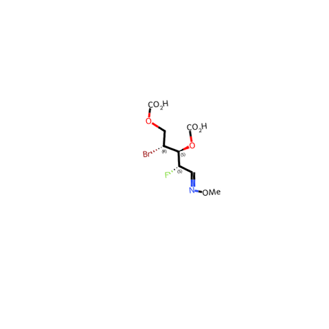 CON=C[C@H](F)[C@H](OC(=O)O)[C@H](Br)COC(=O)O